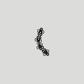 O=C1c2ccc3c4ccc5c6c(ccc(c7ccc(c2c37)C(=O)N1CCOCCN1C(=O)c2ccc3c7ccc8c9c(ccc(c%10ccc(c2c3%10)C1=O)c97)C(=O)N(c1ccccc1)C8=O)c64)C(=O)N(c1ccccc1)C5=O